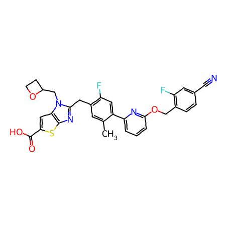 Cc1cc(Cc2nc3sc(C(=O)O)cc3n2CC2CCO2)c(F)cc1-c1cccc(OCc2ccc(C#N)cc2F)n1